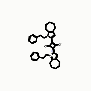 O=C1C(c2cc3c(n2CCc2ccccc2)CCCCC3)=C([O-])/C1=C1\C=C2CCCCCC2=[N+]1CCc1ccccc1